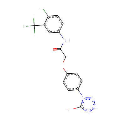 O=C(COc1ccc(-n2nnnc2O)cc1)Nc1ccc(Cl)c(C(F)(F)F)c1